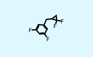 Fc1cc(F)cc(CC2CC2(F)F)c1